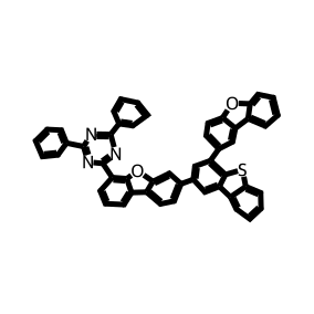 c1ccc(-c2nc(-c3ccccc3)nc(-c3cccc4c3oc3cc(-c5cc(-c6ccc7oc8ccccc8c7c6)c6sc7ccccc7c6c5)ccc34)n2)cc1